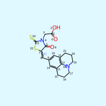 O=C(O)CN1C(=O)/C(=C\c2cc3c4c(c2)CCCN4CCC3)SC1=S